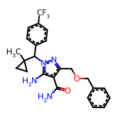 CC1(C(c2ccc(C(F)(F)F)cc2)n2nc(COCc3ccccc3)c(C(N)=O)c2N)CC1